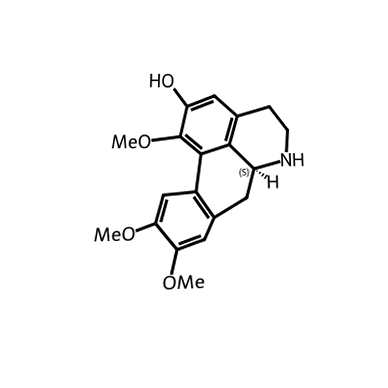 COc1cc2c(cc1OC)-c1c(OC)c(O)cc3c1[C@H](C2)NCC3